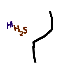 CCCC.I.S